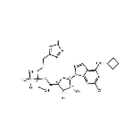 O=P(O)(O)[C@@](CO)(COCc1nn[nH]n1)OC[C@H]1O[C@@H](n2ncc3c(NC4CCC4)nc(Cl)nc32)[C@H](O)[C@@H]1O